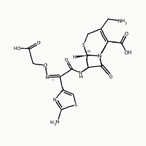 NCC1=C(C(=O)O)N2C(=O)C(NC(=O)/C(=N\OCC(=O)O)c3csc(N)n3)[C@@H]2SC1